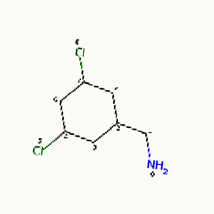 NCC1CC(Cl)CC(Cl)C1